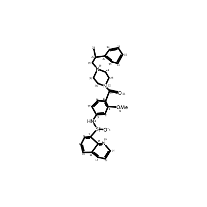 COc1cc(N[S+]([O-])c2cccc3cccnc23)ccc1C(=O)N1CCN(CC(C)c2ccccc2)CC1